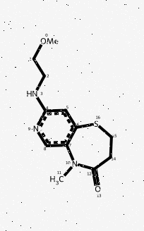 COCCNc1cc2c(cn1)N(C)C(=O)CCS2